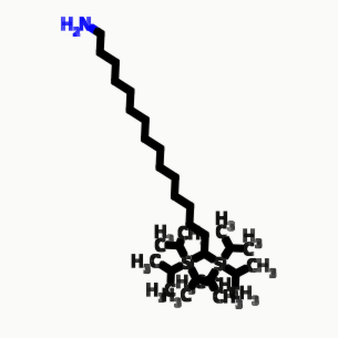 CC(C)[Si](C(C)C)(C(C)C)C(CCCCCCCCCCCCCCCN)[Si](C(C)C)(C(C)C)C(C)C